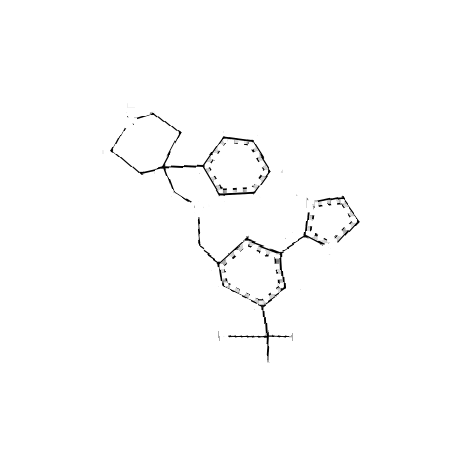 FC(F)(F)c1cc(COCC2(c3ccccc3)CCNCC2)cc(-c2nccs2)c1